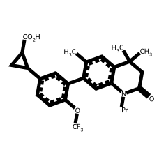 Cc1cc2c(cc1-c1cc(C3CC3C(=O)O)ccc1OC(F)(F)F)N(C(C)C)C(=O)CC2(C)C